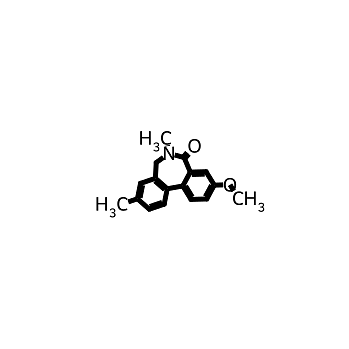 COc1ccc2c(c1)C(=O)N(C)Cc1cc(C)ccc1-2